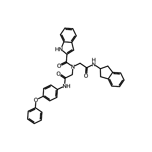 O=C(CN(CC(=O)NC1Cc2ccccc2C1)C(=O)c1cc2ccccc2[nH]1)Nc1ccc(Oc2ccccc2)cc1